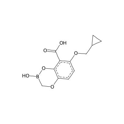 O=C(O)c1c(OCC2CC2)ccc2c1OB(O)CO2